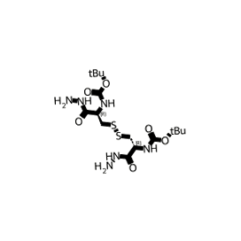 CC(C)(C)OC(=O)N[C@@H](CSSC[C@H](NC(=O)OC(C)(C)C)C(=O)NN)C(=O)NN